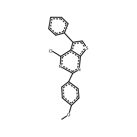 COc1ccc(-c2nc(Cl)c3c(-c4ccccc4)csc3n2)cc1